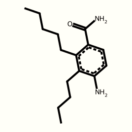 CCCCCc1c(C(N)=O)ccc(N)c1CCCC